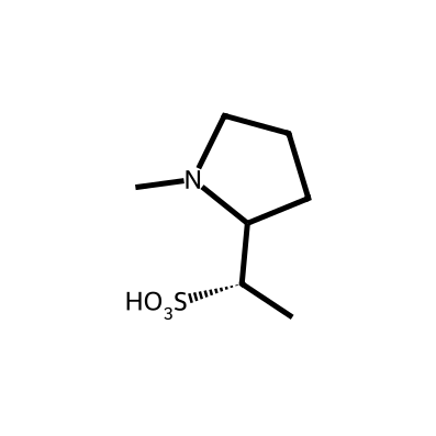 C[C@@H](C1CCCN1C)S(=O)(=O)O